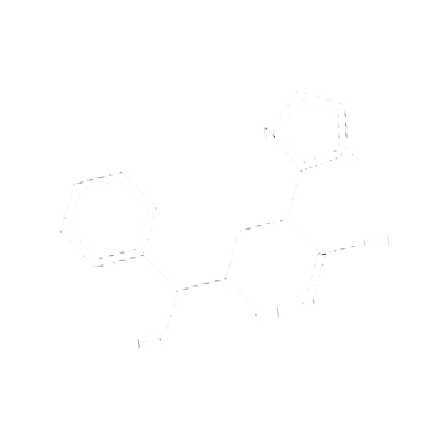 CC(CC(C(=O)O)c1ncco1)C(C)c1ccccc1